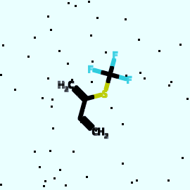 C=CC(=C)SC(F)(F)F